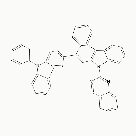 c1ccc(-n2c3ccccc3c3cc(-c4cc5c(c6ccccc46)c4ccccc4n5-c4ncc5ccccc5n4)ccc32)cc1